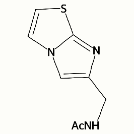 CC(=O)NCc1cn2ccsc2n1